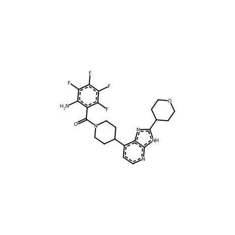 Nc1c(F)c(F)c(F)c(F)c1C(=O)N1CCC(c2ccnc3[nH]c(C4CCOCC4)nc23)CC1